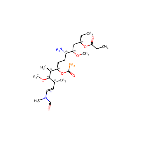 CCC(=O)O[C@H](CC)C[C@H](OC)[C@@H](N)CC[C@@H](OC(=O)P)[C@H](C)[C@H](OC)[C@H](C)/C=C/N(C)C=O